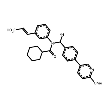 [2H]C(c1ccc(-c2ccc(OC)nc2)cc1)N(C(=O)C1CCCCC1)c1cccc(/C=C/C(=O)O)c1